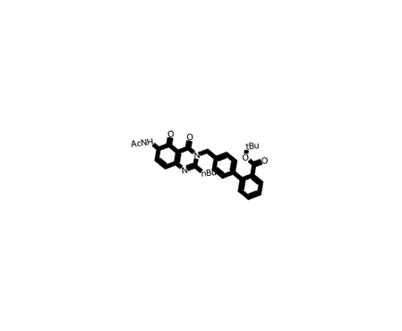 CCCCc1nc2c(c(=O)n1Cc1ccc(-c3ccccc3C(=O)OC(C)(C)C)cc1)C(=O)C(NC(C)=O)C=C2